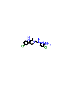 CC1c2[nH]c3ccc(Cl)cc3c2CCN1CCNc1ccc(Cl)c(N)n1